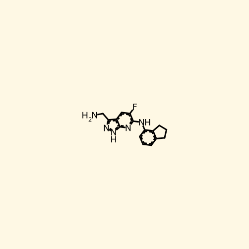 NCc1n[nH]c2nc(Nc3cccc4c3CCC4)c(F)cc12